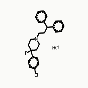 Cl.FC1(c2ccc(Cl)cc2)CCN(CCC(c2ccccc2)c2ccccc2)CC1